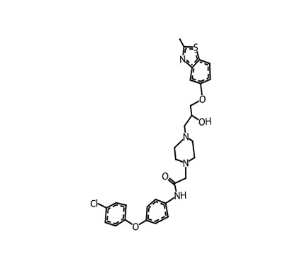 Cc1nc2cc(OCC(O)CN3CCN(CC(=O)Nc4ccc(Oc5ccc(Cl)cc5)cc4)CC3)ccc2s1